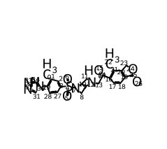 Cc1cc(S(=O)(=O)N2CC3C2CN3C[C@H](O)c2ccc3c(c2C)COC3=O)ccc1-n1cnnn1